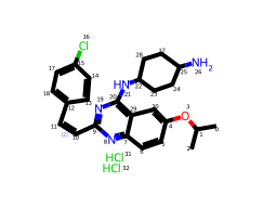 CC(C)Oc1ccc2nc(/C=C\c3ccc(Cl)cc3)nc(NC3CCC(N)CC3)c2c1.Cl.Cl